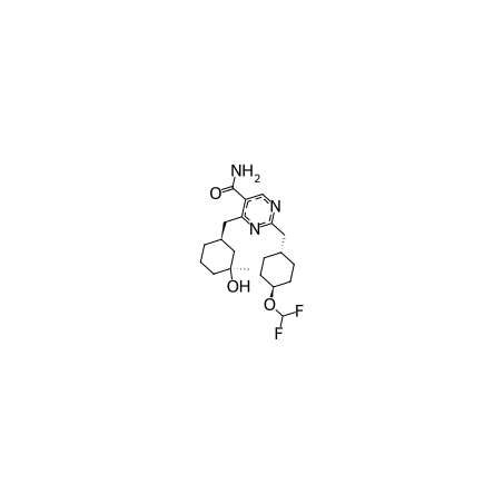 C[C@]1(O)CCC[C@@H](Cc2nc(C[C@H]3CC[C@H](OC(F)F)CC3)ncc2C(N)=O)C1